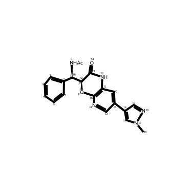 CC(=O)N[C@H](c1ccccc1)[C@@H]1Oc2ncc(-c3cnn(C)c3)cc2NC1=O